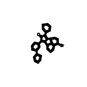 O=C1C(c2ccccc2)=C2C(=C1c1cccc(-c3ccccc3)c1)c1cccc3c(Br)ccc2c13